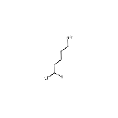 CCCCCCCC(Cl)I